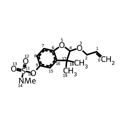 C=CCOC1Oc2ccc(OS(=O)(=O)NC)cc2C1(C)C